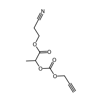 C#CCOC(=O)OC(C)C(=O)OCCC#N